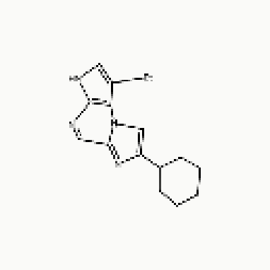 CCc1c[nH]c2ncc3nc(C4CCCCC4)cn3c12